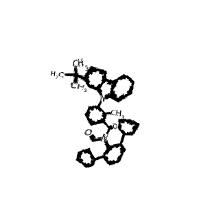 Cc1c(C(=O)N(C=O)c2c(-c3ccccc3)cccc2-c2ccccc2)cccc1-n1c2ccccc2c2ccc(C(C)(C)C)cc21